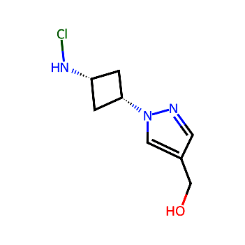 OCc1cnn([C@H]2C[C@@H](NCl)C2)c1